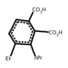 CCCc1c(CC)ccc(C(=O)O)c1C(=O)O